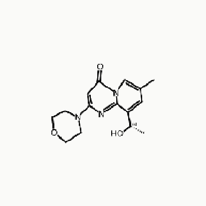 Cc1cc([C@H](C)O)c2nc(N3CCOCC3)cc(=O)n2c1